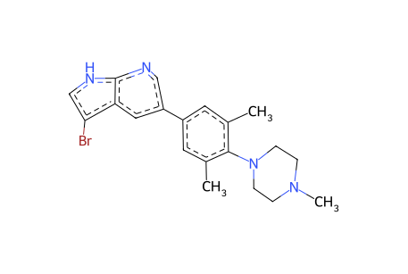 Cc1cc(-c2cnc3[nH]cc(Br)c3c2)cc(C)c1N1CCN(C)CC1